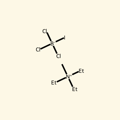 CC[N+](C)(CC)CC.Cl[B-](Cl)(Cl)I